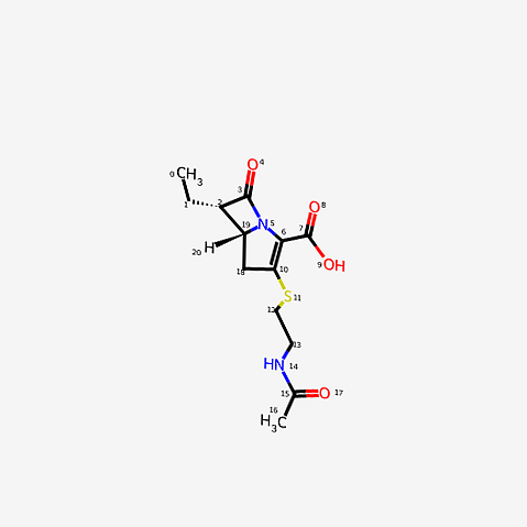 CC[C@@H]1C(=O)N2C(C(=O)O)=C(SCCNC(C)=O)C[C@H]12